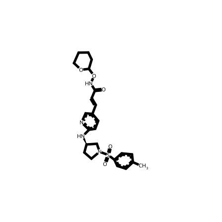 Cc1ccc(S(=O)(=O)N2CC[C@@H](Nc3ccc(/C=C/C(=O)NOC4CCCCO4)cn3)C2)cc1